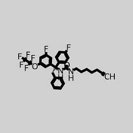 C#CCCCCCNC(=O)N[C@](Cc1ccccc1)(c1ccc(F)cc1)c1cc(F)cc(OC(F)(F)C(F)(F)F)c1